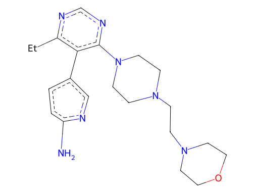 CCc1ncnc(N2CCN(CCN3CCOCC3)CC2)c1-c1ccc(N)nc1